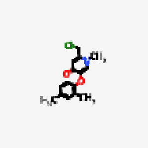 Cc1ccc(Oc2cn(C)c(CCl)cc2=O)c(C)c1